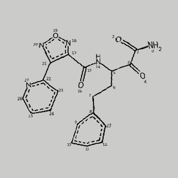 NC(=O)C(=O)C(CCc1ccccc1)NC(=O)c1nonc1-c1ccccn1